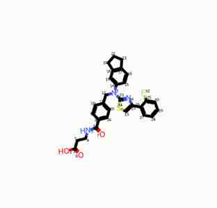 O=C(O)CCNC(=O)c1ccc(CN(c2ccc3c(c2)CCC3)c2nc(-c3ccccc3F)cs2)cc1